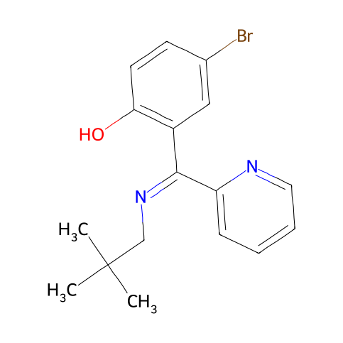 CC(C)(C)C/N=C(\c1ccccn1)c1cc(Br)ccc1O